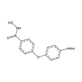 CCCCCCc1ccc(Oc2ccc(C(=O)NO)cc2)cc1